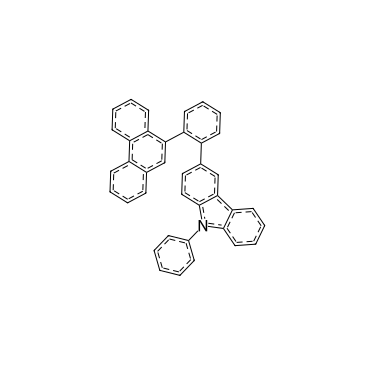 c1ccc(-n2c3ccccc3c3cc(-c4ccccc4-c4cc5ccccc5c5ccccc45)ccc32)cc1